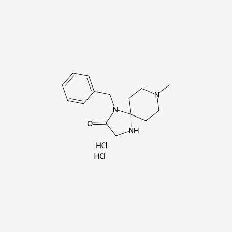 CN1CCC2(CC1)NCC(=O)N2Cc1ccccc1.Cl.Cl